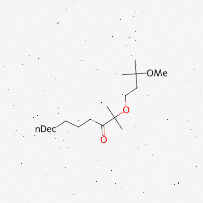 CCCCCCCCCCCCCC(=O)C(C)(C)OCCC(C)(C)OC